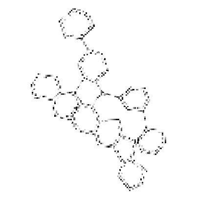 c1ccc(-c2cccc(N(c3ccc(-c4ccccc4)cc3-c3cccc4ccccc34)c3cccc4cc5c(cc34)oc3ncccc35)c2)cc1